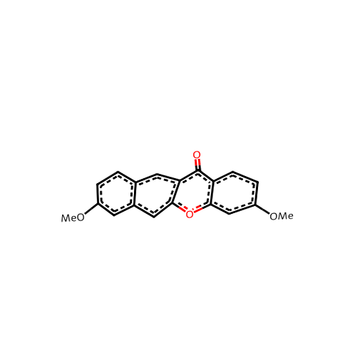 COc1ccc2cc3c(=O)c4ccc(OC)cc4oc3cc2c1